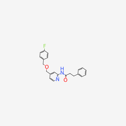 O=C(CCc1ccccc1)Nc1cc(COCc2ccc(F)cc2)ccn1